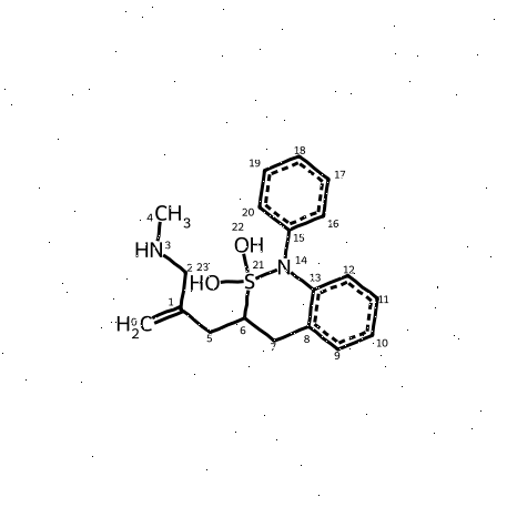 C=C(CNC)CC1Cc2ccccc2N(c2ccccc2)S1(O)O